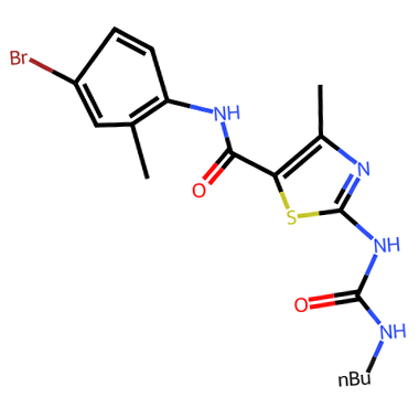 CCCCNC(=O)Nc1nc(C)c(C(=O)Nc2ccc(Br)cc2C)s1